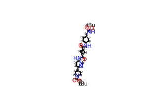 CC(C)(C)OC(=O)NCc1ccc(NC(=O)C23CC(C(=O)Nc4ccc(C5=CCN(C(=O)OC(C)(C)C)CC5)nn4)(C2)C3)cc1